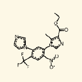 CCOC(=O)c1ncn(-c2cc(-n3ccnc3)c(C(F)(F)F)cc2[N+](=O)[O-])c1C